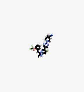 Cc1nc2cc(F)c(-c3cnc(N4CCC(C)(C#N)CC4)nc3)cn2c1Cc1ccccc1OC(F)F